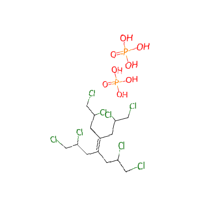 ClCC(Cl)CC(CC(Cl)CCl)=C(CC(Cl)CCl)CC(Cl)CCl.O=P(O)(O)O.O=P(O)(O)O